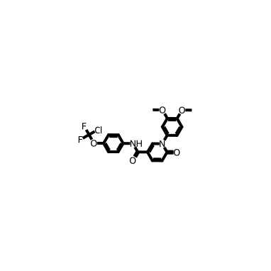 COc1ccc(-n2cc(C(=O)Nc3ccc(OC(F)(F)Cl)cc3)ccc2=O)cc1OC